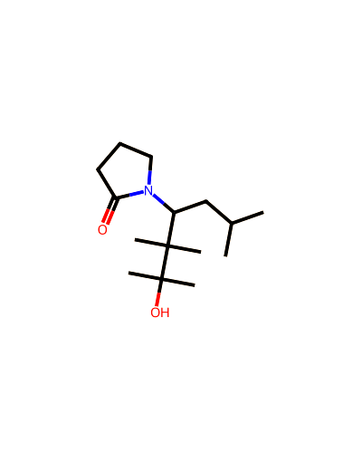 CC(C)CC(N1CCCC1=O)C(C)(C)C(C)(C)O